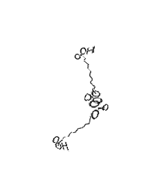 O=C(O)CCCCCCCCCCOC(=O)OOC(=O)OCCCCCCCCCCC(=O)O